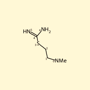 CNCCSC(=N)N